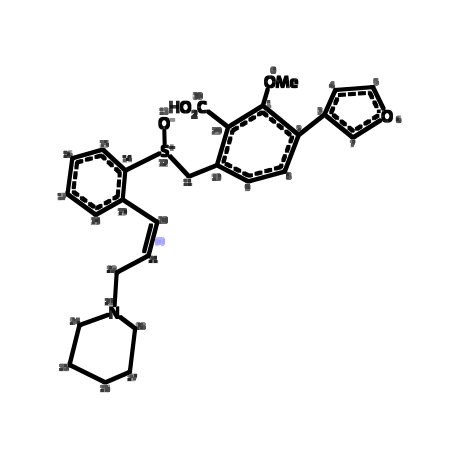 COc1c(-c2ccoc2)ccc(C[S+]([O-])c2ccccc2/C=C\CN2CCCCC2)c1C(=O)O